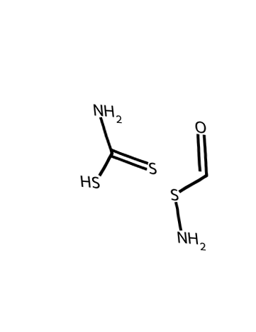 NC(=S)S.NSC=O